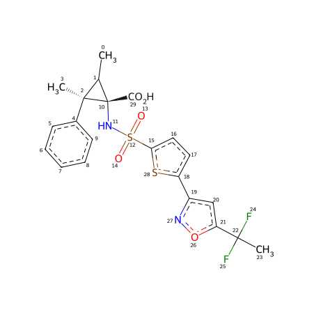 CC1[C@](C)(c2ccccc2)[C@]1(NS(=O)(=O)c1ccc(-c2cc(C(C)(F)F)on2)s1)C(=O)O